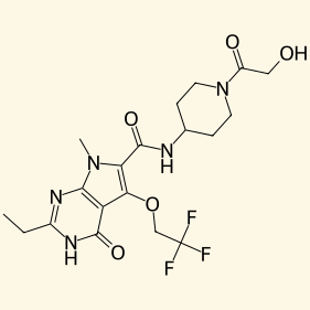 CCc1nc2c(c(OCC(F)(F)F)c(C(=O)NC3CCN(C(=O)CO)CC3)n2C)c(=O)[nH]1